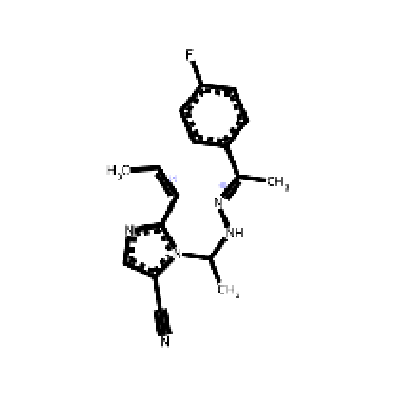 C/C=C\c1ncc(C#N)n1C(C)N/N=C(\C)c1ccc(F)cc1